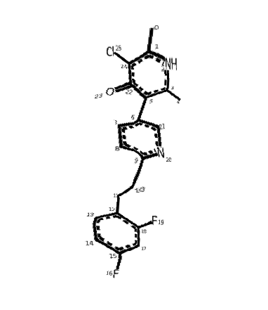 Cc1[nH]c(C)c(-c2ccc(CCc3ccc(F)cc3F)nc2)c(=O)c1Cl